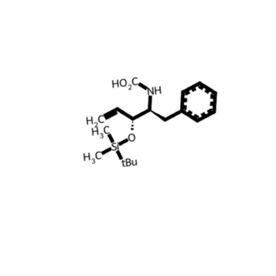 C=C[C@@H](O[Si](C)(C)C(C)(C)C)[C@H](Cc1ccccc1)NC(=O)O